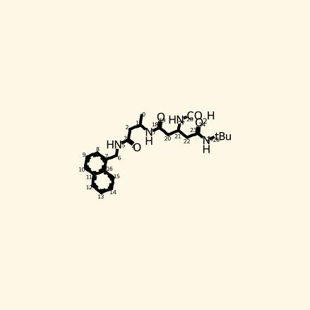 CC(CC(=O)NCc1cccc2ccccc12)NC(=O)CC(CC(=O)NC(C)(C)C)NC(=O)O